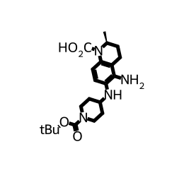 C[C@H]1CCc2c(ccc(NC3CCN(C(=O)OC(C)(C)C)CC3)c2N)N1C(=O)O